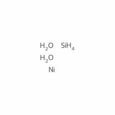 O.O.[Ni].[SiH4]